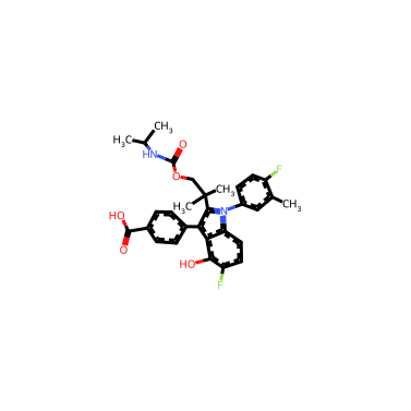 Cc1cc(-n2c(C(C)(C)COC(=O)NC(C)C)c(-c3ccc(C(=O)O)cc3)c3c(O)c(F)ccc32)ccc1F